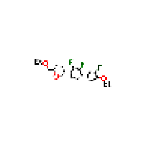 CCOCC1CCC(c2ccc(-c3ccc(OCC)c(F)c3)c(F)c2F)CO1